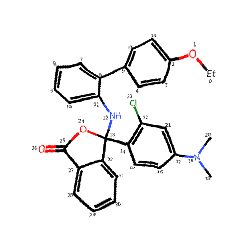 CCOc1ccc(-c2ccccc2NC2(c3ccc(N(C)C)cc3Cl)OC(=O)c3ccccc32)cc1